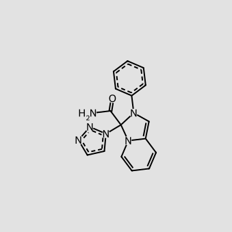 NC(=O)C1(n2ccnn2)N2C=CC=CC2=CN1c1ccccc1